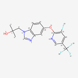 CC(C)(O)Cn1cnc2cc(Oc3ncc(C(F)(F)F)cc3F)ccc21